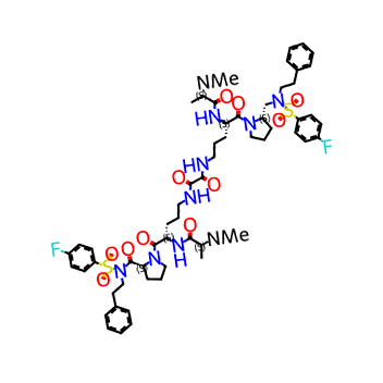 CN[C@@H](C)C(=O)N[C@@H](CCCNC(=O)C(=O)NCCC[C@H](NC(=O)[C@H](C)NC)C(=O)N1CCC[C@H]1C(=O)N(CCc1ccccc1)S(=O)(=O)c1ccc(F)cc1)C(=O)N1CCC[C@H]1CN(CCc1ccccc1)S(=O)(=O)c1ccc(F)cc1